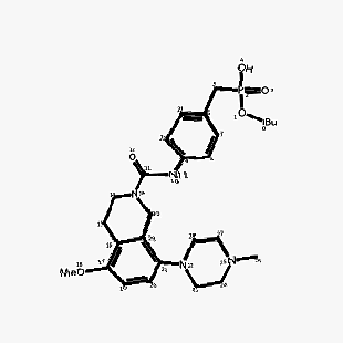 CCC(C)OP(=O)(O)Cc1ccc(NC(=O)N2CCc3c(OC)ccc(N4CCN(C)CC4)c3C2)cc1